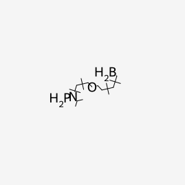 BCC(C)(C)CC(C)(C)CCOCC(C)(C)CC(C)(C)N(P)C(C)C